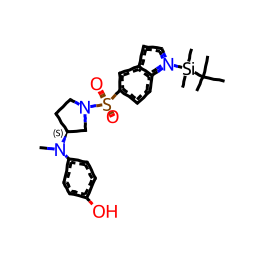 CN(c1ccc(O)cc1)[C@H]1CCN(S(=O)(=O)c2ccc3c(ccn3[Si](C)(C)C(C)(C)C)c2)C1